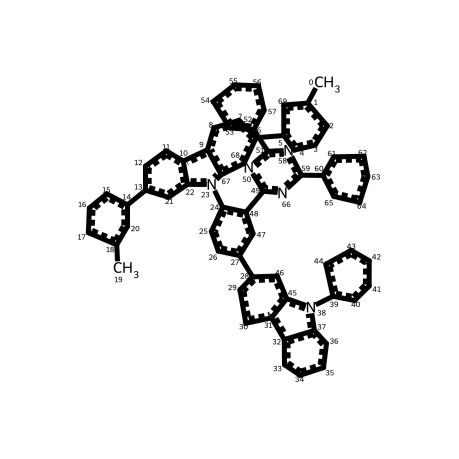 Cc1cccc(-c2ccc3c4ccc(-c5cccc(C)c5)cc4n(-c4ccc(-c5ccc6c7ccccc7n(-c7ccccc7)c6c5)cc4-c4nc(-c5ccccc5)nc(-c5ccccc5)n4)c3c2)c1